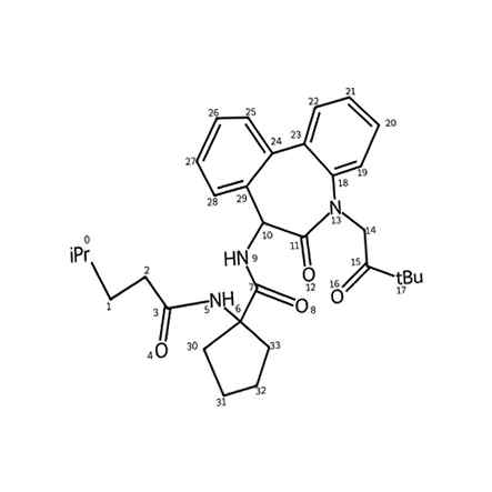 CC(C)CCC(=O)NC1(C(=O)NC2C(=O)N(CC(=O)C(C)(C)C)c3ccccc3-c3ccccc32)CCCC1